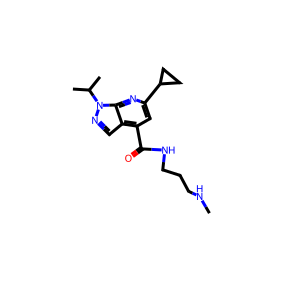 CNCCCNC(=O)c1cc(C2CC2)nc2c1cnn2C(C)C